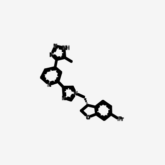 Cc1[nH]nnc1-c1ccnc(-c2cn(C[C@H]3COc4cc(C(C)C)ccc43)cn2)c1